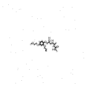 C=CCOc1cc(OCCOC)ccc1OCC(O)CNC(C)CC(=O)NC